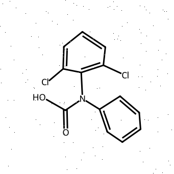 O=C(O)N(c1ccccc1)c1c(Cl)cccc1Cl